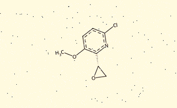 COc1ccc(Cl)nc1[C@@H]1CO1